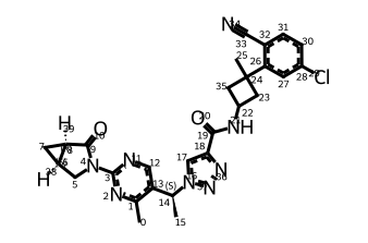 Cc1nc(N2C[C@H]3C[C@H]3C2=O)ncc1[C@H](C)n1cc(C(=O)NC2CC(C)(c3cc(Cl)ccc3C#N)C2)nn1